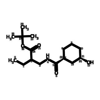 CCC(CNC(=O)[C@H]1CCC[C@@H](O)C1)C(=O)OC(C)(C)C